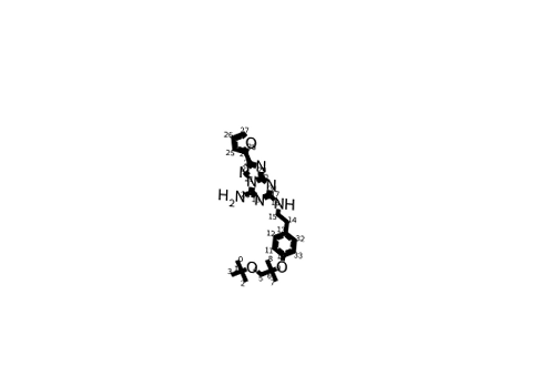 CC(C)(C)OCC(C)(C)Oc1ccc(CCNc2nc(N)n3nc(-c4ccco4)nc3n2)cc1